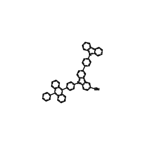 CC(C)(C)c1ccc2c(c1)c1cc(-c3ccc(-n4c5ccccc5c5ccccc54)cc3)ccc1n2-c1ccc(-c2c3ccccc3c(-c3ccccc3)c3ccccc23)cc1